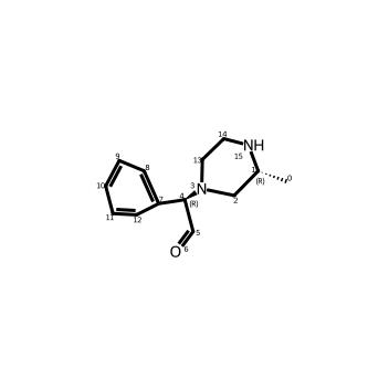 C[C@@H]1CN([C@@H](C=O)c2ccccc2)CCN1